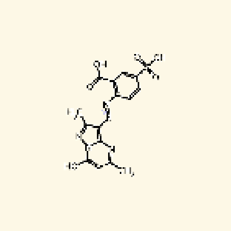 Cc1cc(O)n2nc(C)c(/N=N/c3ccc(S(=O)(=O)O)cc3C(=O)O)c2n1